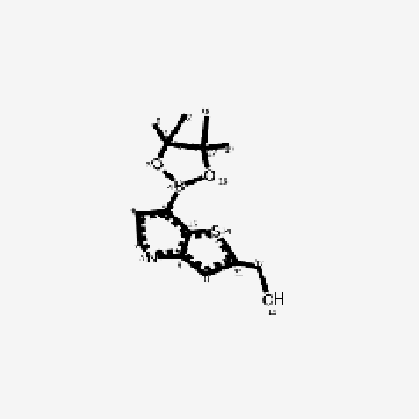 CC1(C)OB(c2ccnc3cc(CO)sc23)OC1(C)C